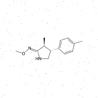 CO/N=C1\NC[C@@H](c2ccc(C)cc2)[C@@H]1C